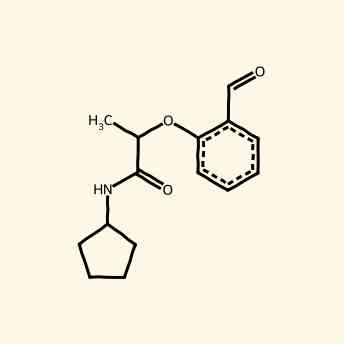 CC(Oc1ccccc1C=O)C(=O)NC1CCCC1